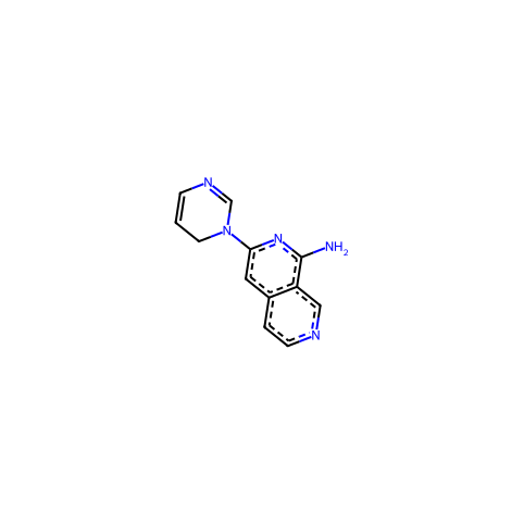 Nc1nc(N2C=NC=CC2)cc2ccncc12